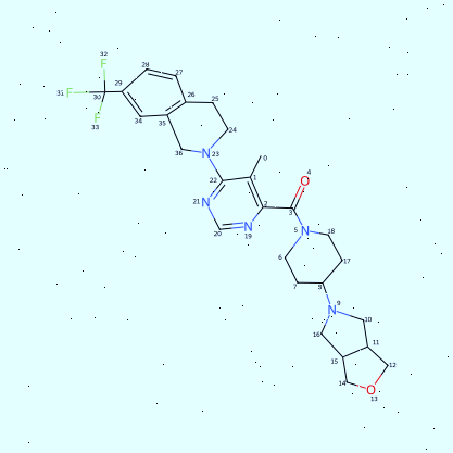 Cc1c(C(=O)N2CCC(N3CC4COCC4C3)CC2)ncnc1N1CCc2ccc(C(F)(F)F)cc2C1